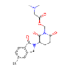 CCc1ccc2c(c1)CN(C1CCC(=O)N(COC(=O)CN(C)C)C1=O)C2=O